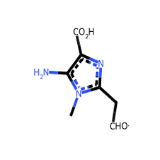 Cn1c(C[C]=O)nc(C(=O)O)c1N